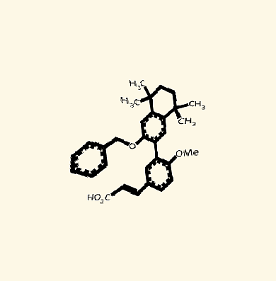 COc1ccc(C=CC(=O)O)cc1-c1cc2c(cc1OCc1ccccc1)C(C)(C)CCC2(C)C